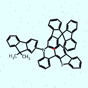 CC1(C)c2ccccc2-c2ccc(N(c3ccc4c(c3)-c3ccccc3C43c4ccccc4-c4ccccc43)c3ccccc3-c3cccc4c3sc3ccccc34)cc21